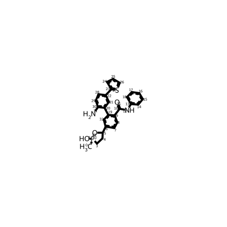 C[P]1(O)CCC(c2ccc(C(=O)Nc3ccccc3)c(-c3cc(-c4cccs4)ccc3N)c2)O1